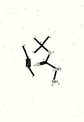 CC#CC.CC(C)(C)OC(=O)NN